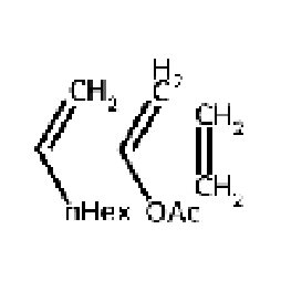 C=C.C=CCCCCCC.C=COC(C)=O